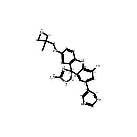 CC1(COc2ccc3c(c2)[C@]2(COC(N)=N2)c2cc(-c4cncnc4)cc(F)c2O3)COC1